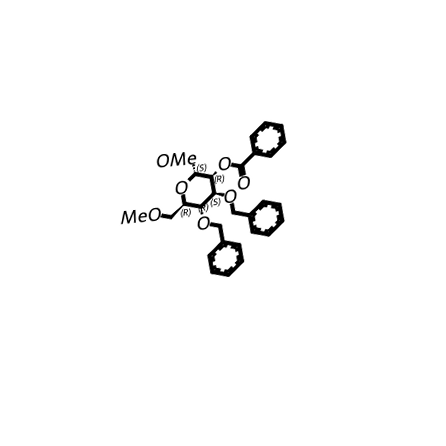 COC[C@H]1O[C@H](OC)[C@H](OC(=O)c2ccccc2)[C@@H](OCc2ccccc2)[C@@H]1OCc1ccccc1